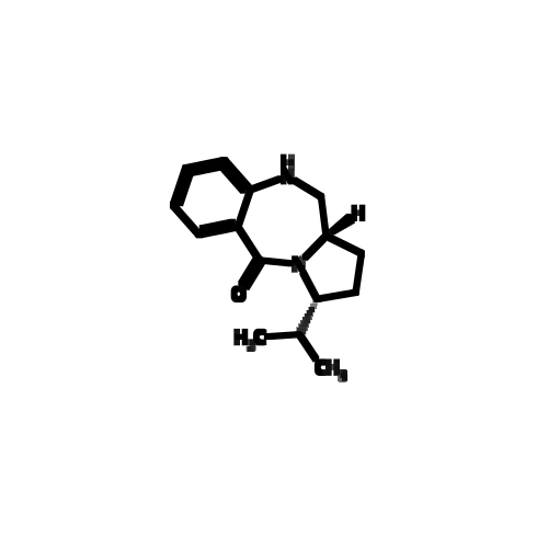 CC(C)[C@H]1CC[C@H]2CNC3=C=C=CC=C3C(=O)N21